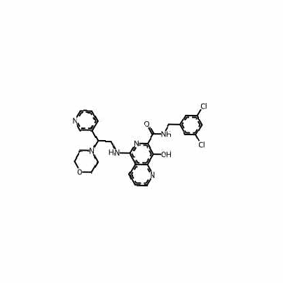 O=C(NCc1cc(Cl)cc(Cl)c1)c1nc(NCC(c2cccnc2)N2CCOCC2)c2cccnc2c1O